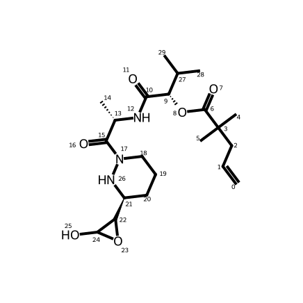 C=CCC(C)(C)C(=O)O[C@H](C(=O)N[C@@H](C)C(=O)N1CCC[C@@H](C2OC2O)N1)C(C)C